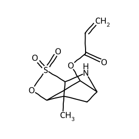 C=CC(=O)OC1C2CC3(C)C1OS(=O)(=O)C3N2